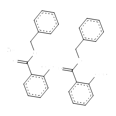 O=C([O-])c1ccccc1C(=O)OCc1ccccc1.O=C([O-])c1ccccc1C(=O)OCc1ccccc1.[Zn+2]